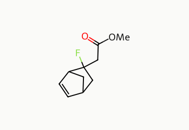 COC(=O)CC1(F)CC2C=CC1C2